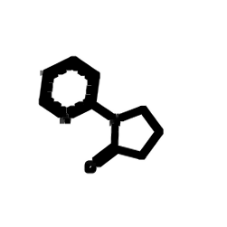 O=C1CCCN1c1cc[c]cn1